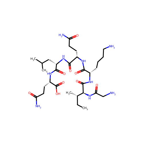 CC[C@H](C)[C@H](NC(=O)CN)C(=O)N[C@@H](CCCCN)C(=O)N[C@@H](CCC(N)=O)C(=O)N[C@@H](CC(C)C)C(=O)N[C@@H](CCC(N)=O)C(=O)O